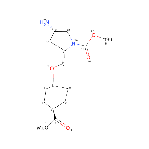 COC(=O)[C@H]1CC[C@H](OC[C@@H]2C[C@H](N)CN2C(=O)OC(C)(C)C)CC1